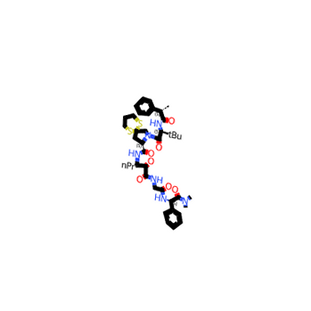 CCCC(NC(=O)[C@@H]1CC2(CN1C(=O)[C@@H](NC(=O)[C@@H](C)c1ccccc1)C(C)(C)C)SCCCS2)C(=O)C(=O)NCC(=O)N[C@H](C(=O)N(C)C)c1ccccc1